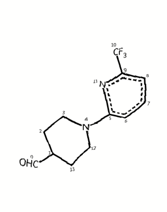 O=CC1CCN(c2cccc(C(F)(F)F)n2)CC1